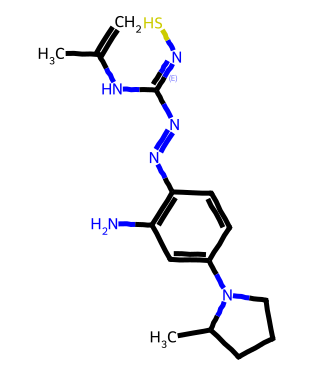 C=C(C)N/C(N=Nc1ccc(N2CCCC2C)cc1N)=N\S